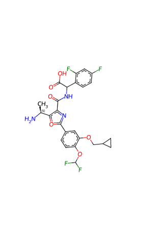 C[C@H](N)c1oc(-c2ccc(OC(F)F)c(OCC3CC3)c2)nc1C(=O)NC(C(=O)O)c1ccc(F)cc1F